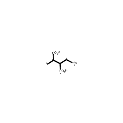 CC(C(=O)O)C(CC(C)(C)C)C(=O)O